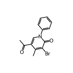 CC(=O)c1cn(-c2ccccc2)c(=O)c(Br)c1C